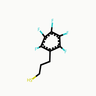 Fc1c(F)c(F)c(CCCS)c(F)c1F